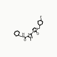 Cc1nc(-n2ccn(Cc3ccc(F)cc3)c2=O)sc1C(=O)NCc1ccccc1